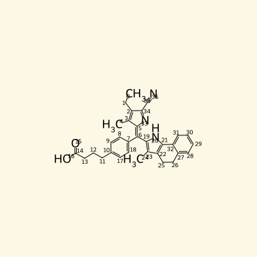 CCC1=C(C)/C(=C(\c2ccc(CCCC(=O)O)cc2)c2[nH]c3c(c2C)CCc2ccccc2-3)N=C1C#N